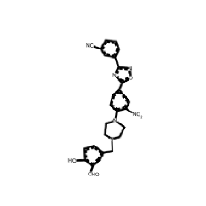 N#Cc1cccc(-c2noc(-c3ccc(N4CCN(Cc5ccc(O)c(C=O)c5)CC4)c([N+](=O)[O-])c3)n2)c1